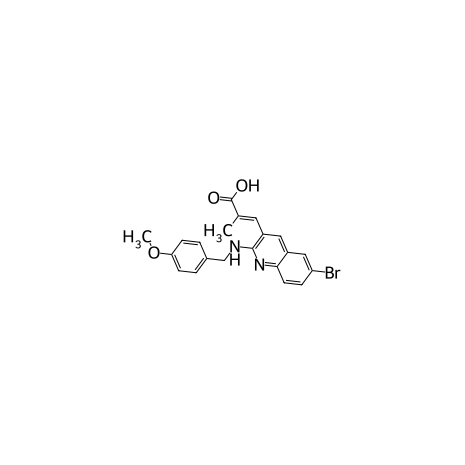 COc1ccc(CNc2nc3ccc(Br)cc3cc2/C=C(\C)C(=O)O)cc1